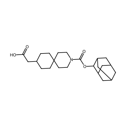 O=C(O)CC1CCC2(CC1)CCN(C(=O)OC1C3CC4CC(C3)CC1C4)CC2